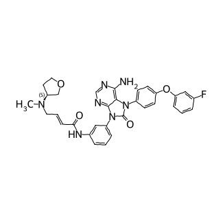 CN(CC=CC(=O)Nc1cccc(-n2c(=O)n(-c3ccc(Oc4cccc(F)c4)cc3)c3c(N)ncnc32)c1)[C@H]1CCOC1